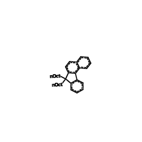 CCCCCCCCC1(CCCCCCCC)c2ccccc2-c2c1ccc1ccccc21